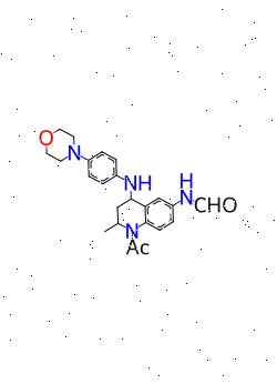 CC(=O)N1c2ccc(NC=O)cc2C(Nc2ccc(N3CCOCC3)cc2)CC1C